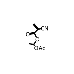 C=C(C#N)C(=O)OC(C)OC(C)=O